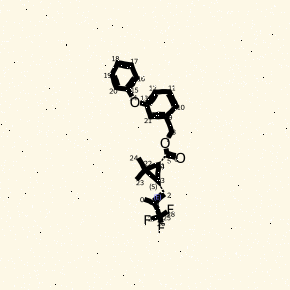 C/C(=C\[C@H]1[C@@H](C(=O)OCc2cccc(Oc3ccccc3)c2)C1(C)C)C(F)(F)F